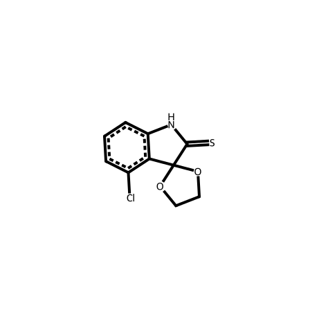 S=C1Nc2cccc(Cl)c2C12OCCO2